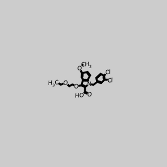 CCOCCOc1c(C(=O)O)n(Cc2ccc(Cl)c(Cl)c2)c2ccc(OC)cc12